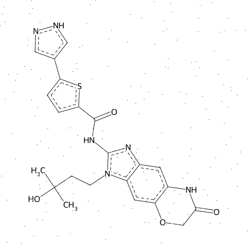 CC(C)(O)CCn1c(NC(=O)c2ccc(-c3cn[nH]c3)s2)nc2cc3c(cc21)OCC(=O)N3